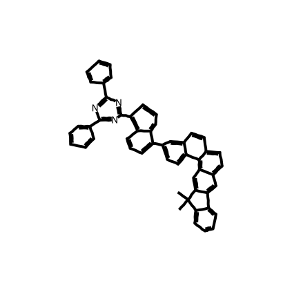 CC1(C)c2ccccc2-c2cc3ccc4ccc5cc(-c6cccc7c(-c8nc(-c9ccccc9)nc(-c9ccccc9)n8)cccc67)ccc5c4c3cc21